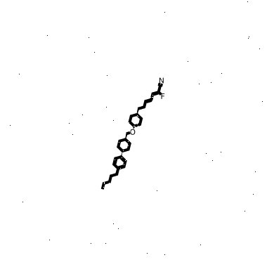 CCCCCc1ccc([C@H]2CC[C@H](CO[C@H]3CC[C@H](CC/C=C/C=C(\F)C#N)CC3)CC2)cc1